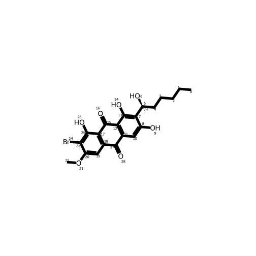 CCCCC[C@H](O)c1c(O)cc2c(c1O)C(=O)c1c(cc(OC)c(Br)c1O)C2=O